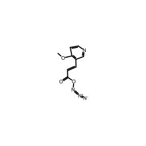 COc1ccncc1C=CC(=O)ON=[N+]=[N-]